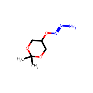 CC1(C)OCC(ON=NN)CO1